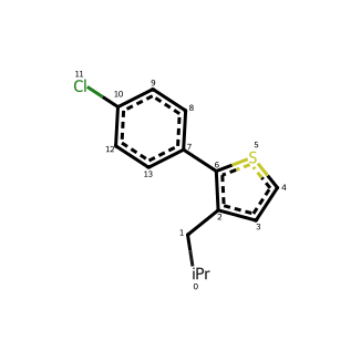 CC(C)Cc1ccsc1-c1ccc(Cl)cc1